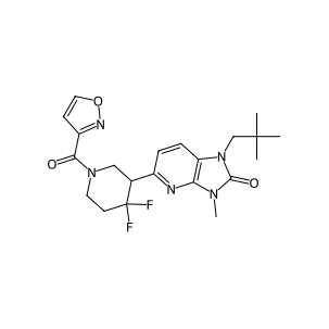 Cn1c(=O)n(CC(C)(C)C)c2ccc(C3CN(C(=O)c4ccon4)CCC3(F)F)nc21